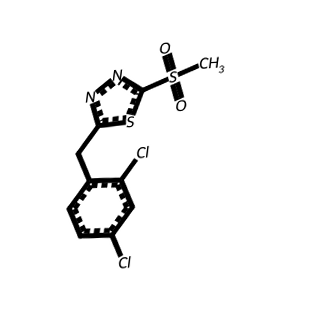 CS(=O)(=O)c1nnc(Cc2ccc(Cl)cc2Cl)s1